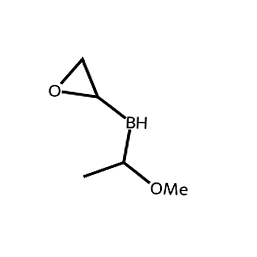 COC(C)BC1CO1